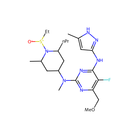 CCCC1CC(N(C)c2nc(COC)c(F)c(Nc3cc(C)[nH]n3)n2)CC(C)N1[S+]([O-])CC